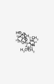 COc1c(OC(=O)C2CC(C)(C)Cc3ncc(C)cc32)cccc1C(=O)O